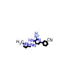 Cn1ccc(CN/N=C2/C=C(c3cccc(C#N)c3)N=C(N)C2=N)n1